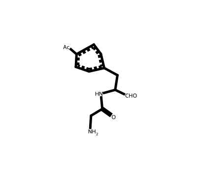 CC(=O)c1ccc(CC(C=O)NC(=O)CN)cc1